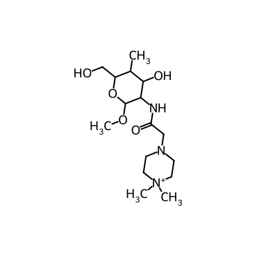 COC1OC(CO)C(C)C(O)C1NC(=O)CN1CC[N+](C)(C)CC1